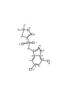 CC1(C)CC(S(=O)(=O)Cc2noc3c(Cl)cc(Cl)cc23)=NO1